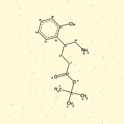 CC(C)(C)OC(=O)CCC(CN)c1ccccc1Cl